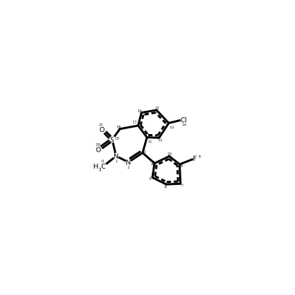 CN1N=C(c2cccc(F)c2)c2cc(Cl)ccc2CS1(=O)=O